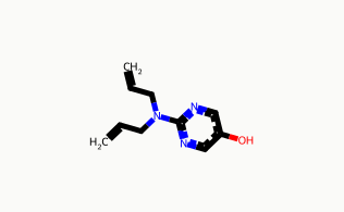 C=CCN(CC=C)c1ncc(O)cn1